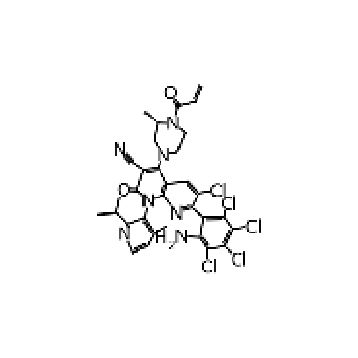 C=CC(=O)N1CCN(c2c(C#N)c(=O)n(-c3c(C)ccnc3C(C)C)c3nc(-c4c(N)c(Cl)c(Cl)c(Cl)c4Cl)c(Cl)cc23)C[C@H]1C